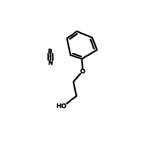 B#N.OCCOc1ccccc1